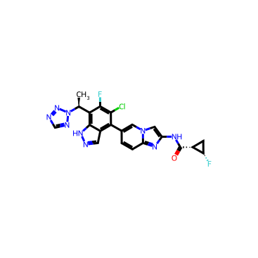 C[C@@H](c1c(F)c(Cl)c(-c2ccc3nc(NC(=O)[C@@H]4C[C@@H]4F)cn3c2)c2cn[nH]c12)n1ncnn1